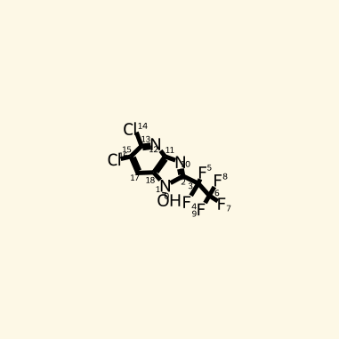 On1c(C(F)(F)C(F)(F)F)nc2nc(Cl)c(Cl)cc21